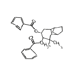 CC1(C)C(OC(=O)c2ccccc2)C(OC(=O)c2ccccc2)CC2C3CCC(C3)C21